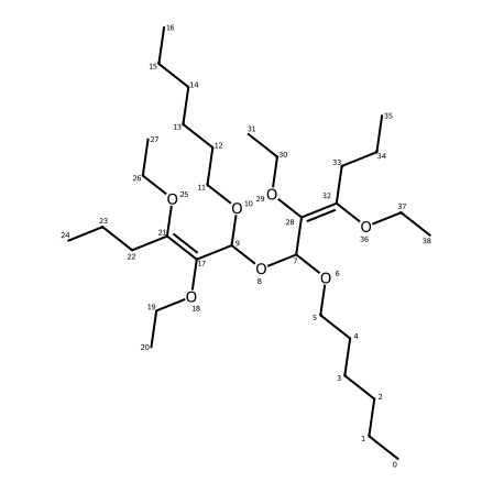 CCCCCCOC(OC(OCCCCCC)C(OCC)=C(CCC)OCC)C(OCC)=C(CCC)OCC